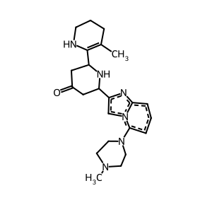 CC1=C(C2CC(=O)CC(c3cn4c(N5CCN(C)CC5)cccc4n3)N2)NCCC1